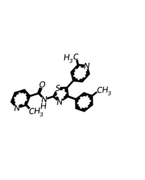 Cc1cccc(-c2nc(NC(=O)c3cccnc3C)sc2-c2ccnc(C)c2)c1